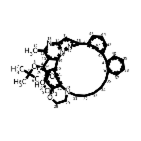 COC(=O)[C@@H](OC(C)(C)C)c1c(C)nc2cc3nn2c1-c1cc2c(cc1F)OCCN2CCCCCc1ccccc1-c1cccc-3c1